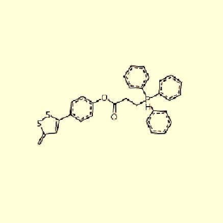 C=C1C=C(c2ccc(OC(=O)CC[PH](c3ccccc3)(c3ccccc3)c3ccccc3)cc2)SS1